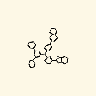 c1ccc(-c2cc(-c3ccccc3)cc(N(c3ccc(-c4ccc5ccccc5c4)cc3)c3cccc(-c4cc5ccccc5o4)c3)c2)cc1